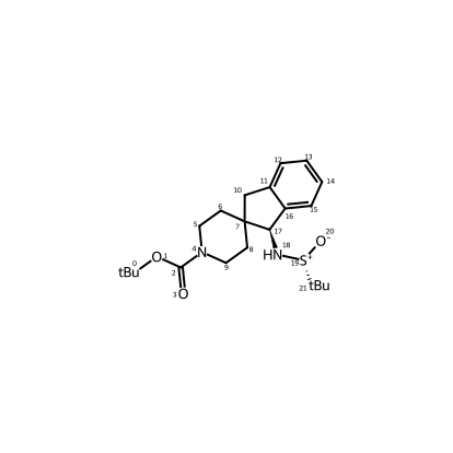 CC(C)(C)OC(=O)N1CCC2(CC1)Cc1ccccc1[C@H]2N[S@+]([O-])C(C)(C)C